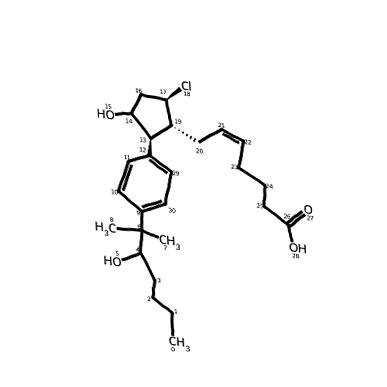 CCCCC(O)C(C)(C)c1ccc([C@H]2C(O)C[C@@H](Cl)[C@@H]2C/C=C\CCCC(=O)O)cc1